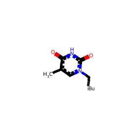 CCC(C)Cn1cc(C)c(=O)[nH]c1=O